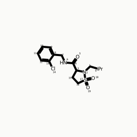 CC(C)CN1C(C(=O)NCc2ccccc2Cl)CCS1(=O)=O